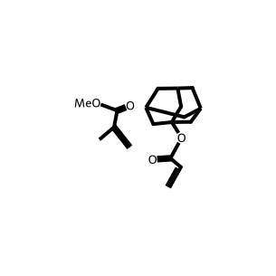 C=C(C)C(=O)OC.C=CC(=O)OC12CC3CC(CC(C3)C1)C2